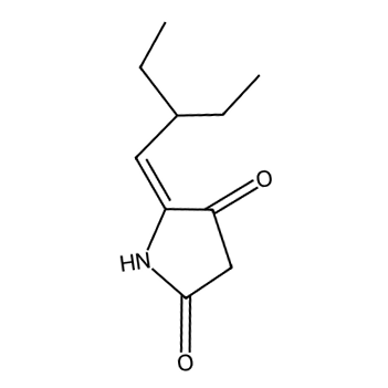 CCC(/C=C1/NC(=O)CC1=O)CC